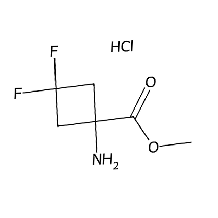 COC(=O)C1(N)CC(F)(F)C1.Cl